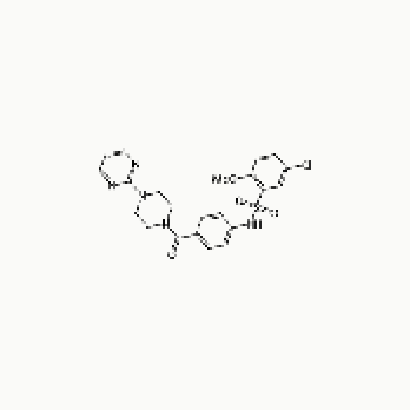 COc1ccc(Cl)cc1S(=O)(=O)Nc1ccc(C(=O)N2CCN(c3ncccn3)CC2)cc1